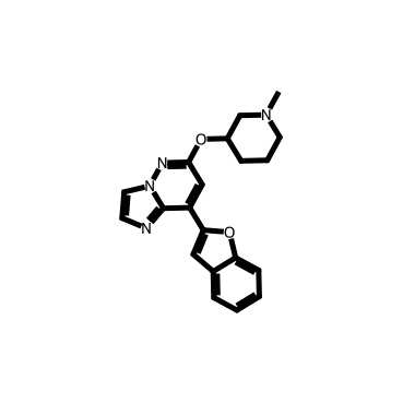 CN1CCCC(Oc2cc(-c3cc4ccccc4o3)c3nccn3n2)C1